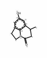 CC1CC(=O)N2CCc3cc(O)cc1c32